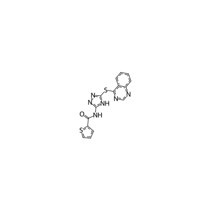 O=C(Nc1nnc(Sc2ncnc3ccccc23)[nH]1)c1cccs1